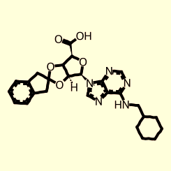 O=C(O)[C@H]1O[C@@H](n2cnc3c(NCC4CCCCC4)ncnc32)[C@H]2OC3(Cc4ccccc4C3)OC12